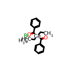 CBr.C[CH2][Ge]([CH2]C)([C](=O)c1ccccc1)[C](=O)c1ccccc1